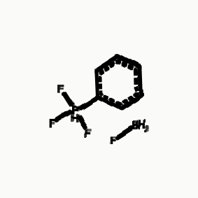 BF.F[PH](F)(F)c1ccccc1